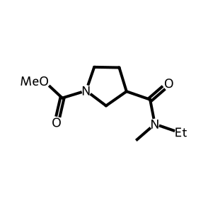 [CH2]CN(C)C(=O)C1CCN(C(=O)OC)C1